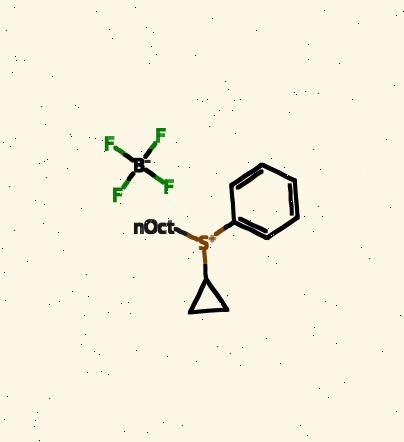 CCCCCCCC[S+](c1ccccc1)C1CC1.F[B-](F)(F)F